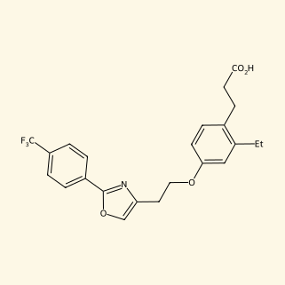 CCc1cc(OCCc2coc(-c3ccc(C(F)(F)F)cc3)n2)ccc1CCC(=O)O